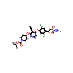 C#Cc1c(Oc2cc(F)c(CCS(N)(=O)=O)cc2F)ncnc1OC1CCN(C(=O)OC(C)C)CC1